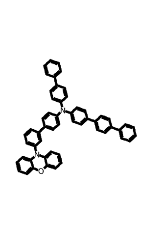 c1ccc(-c2ccc(-c3ccc(N(c4ccc(-c5ccccc5)cc4)c4ccc(-c5cccc(N6c7ccccc7Oc7ccccc76)c5)cc4)cc3)cc2)cc1